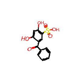 O=C(c1ccccc1)c1cc(S(=O)(=O)O)c(O)cc1O